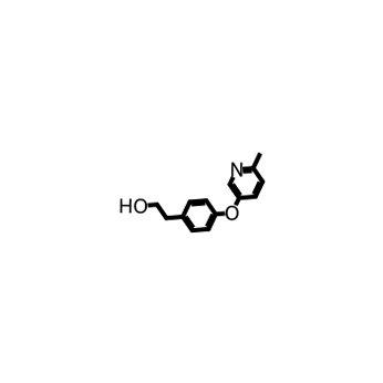 Cc1ccc(Oc2ccc(CCO)cc2)cn1